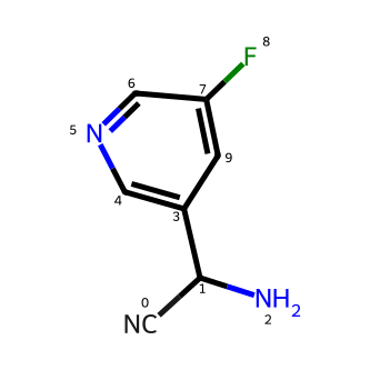 N#CC(N)c1cncc(F)c1